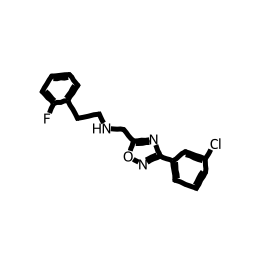 Fc1ccccc1CCNCc1nc(-c2cccc(Cl)c2)no1